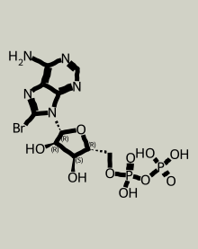 Nc1ncnc2c1nc(Br)n2[C@@H]1O[C@H](COP(=O)(O)OP(=O)(O)O)[C@@H](O)[C@H]1O